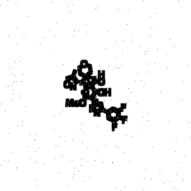 CO[C@H]1C[SH]([C@H](c2nocc2C)C2(O)CCOCC2)[C@H](CO)[C@H](O)[C@@H]1n1cc(-c2cc(F)c(F)c(F)c2)nn1